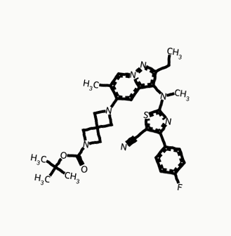 CCc1nn2cc(C)c(N3CC4(CN(C(=O)OC(C)(C)C)C4)C3)cc2c1N(C)c1nc(-c2ccc(F)cc2)c(C#N)s1